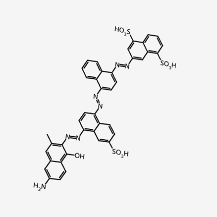 Cc1cc2cc(N)ccc2c(O)c1N=Nc1ccc(N=Nc2ccc(N=Nc3cc(S(=O)(=O)O)c4cccc(S(=O)(=O)O)c4c3)c3ccccc23)c2ccc(S(=O)(=O)O)cc12